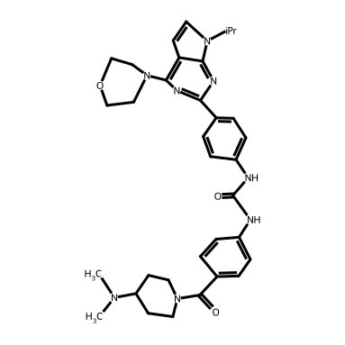 CC(C)n1ccc2c(N3CCOCC3)nc(-c3ccc(NC(=O)Nc4ccc(C(=O)N5CCC(N(C)C)CC5)cc4)cc3)nc21